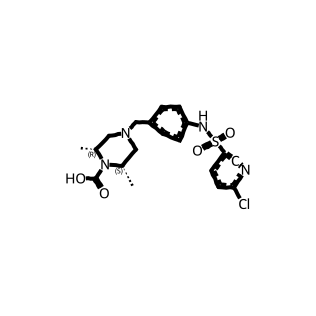 C[C@@H]1CN(Cc2ccc(NS(=O)(=O)c3ccc(Cl)nc3)cc2)C[C@H](C)N1C(=O)O